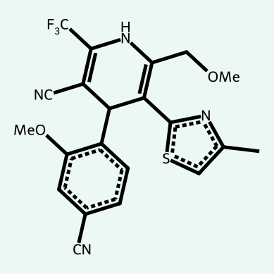 COCC1=C(c2nc(C)cs2)C(c2ccc(C#N)cc2OC)C(C#N)=C(C(F)(F)F)N1